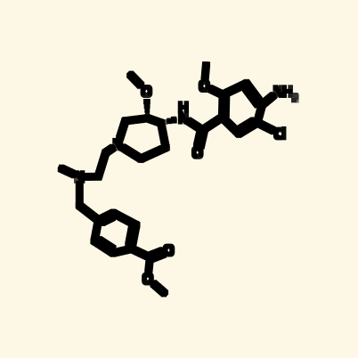 COC(=O)c1ccc(CN(C)CCN2CC[C@@H](NC(=O)c3cc(Cl)c(N)cc3OC)[C@@H](OC)C2)cc1